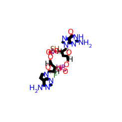 Nc1nc2c(ncn2[C@@H]2O[C@@H]3CO[PH](=O)O[C@H]4[C@H](F)[C@H](n5ccc6c(N)ncnc65)O[C@@H]4COP(=O)(S)O[C@@H]2C3)c(=O)[nH]1